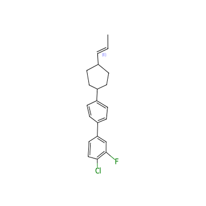 C/C=C/C1CCC(c2ccc(-c3ccc(Cl)c(F)c3)cc2)CC1